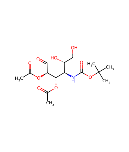 CC(=O)O[C@@H]([C@H](NC(=O)OC(C)(C)C)[C@H](O)CO)[C@H](C=O)OC(C)=O